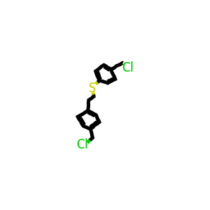 ClCc1ccc(CCSc2ccc(CCl)cc2)cc1